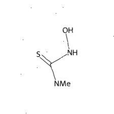 CNC(=S)NO